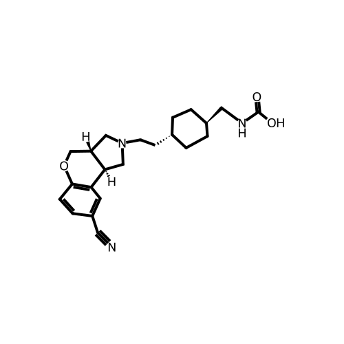 N#Cc1ccc2c(c1)[C@@H]1CN(CC[C@H]3CC[C@H](CNC(=O)O)CC3)C[C@H]1CO2